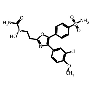 COc1ccc(-c2nc(CCN(O)C(N)=O)oc2-c2ccc(S(N)(=O)=O)cc2)cc1Cl